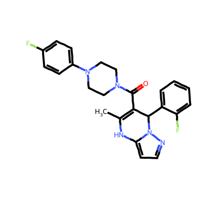 CC1=C(C(=O)N2CCN(c3ccc(F)cc3)CC2)C(c2ccccc2F)n2nccc2N1